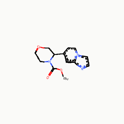 CC(C)(C)OC(=O)N1CCOCC1c1ccn2ccnc2c1